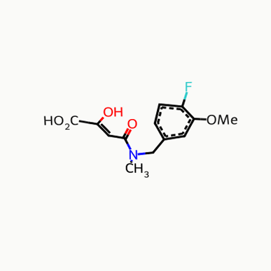 COc1cc(CN(C)C(=O)C=C(O)C(=O)O)ccc1F